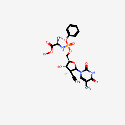 C#C[C@]1(F)C(n2cc(C)c(=O)[nH]c2=O)O[C@H](COP(=O)(N[C@H](C)C(=O)OC(C)C)Oc2ccccc2)[C@H]1O